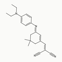 CCN(CC)c1ccc(/N=C2/C=C(C=C(C#N)C#N)CC(C)(C)C2)cc1